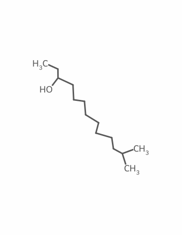 CCC(O)CCCCCCCCC(C)C